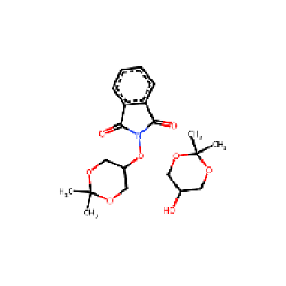 CC1(C)OCC(O)CO1.CC1(C)OCC(ON2C(=O)c3ccccc3C2=O)CO1